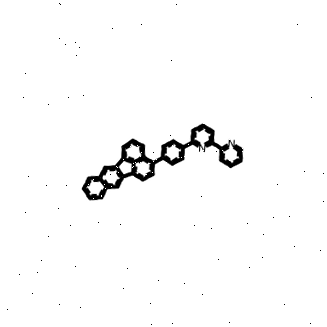 c1ccc(-c2cccc(-c3ccc(-c4ccc5c6c(cccc46)-c4cc6ccccc6cc4-5)cc3)n2)nc1